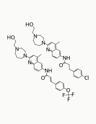 Cc1cc(N2CCCN(CCO)CC2)nc2ccc(NC(=O)C=Cc3ccc(OC(F)(F)F)cc3)cc12.Cc1cc(N2CCCN(CCO)CC2)nc2ccc(NC(=O)CCc3ccc(Cl)cc3)cc12